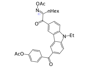 CCCCCC/C(=N\OC(C)=O)C(=O)c1ccc2c(c1)c1cc(C(=O)c3ccc(OC(C)=O)cc3)ccc1n2CC